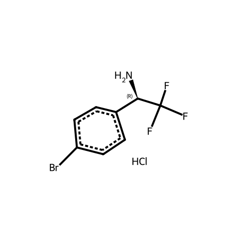 Cl.N[C@H](c1ccc(Br)cc1)C(F)(F)F